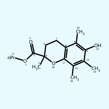 CCCOC(=O)C1(C)CCc2c(C)c(O)c(C)c(C)c2O1